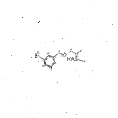 C[AsH]C(C)COCc1cncc(Br)c1